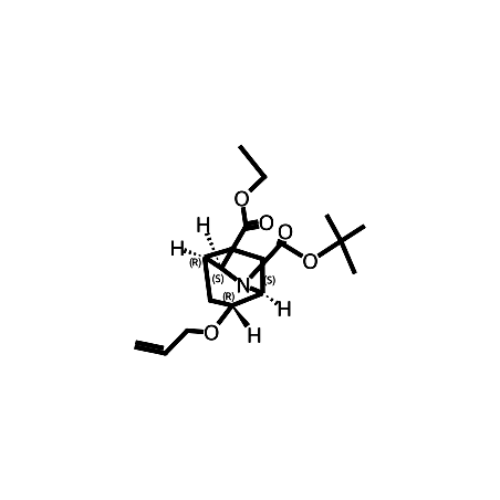 C=CCO[C@@H]1C[C@H]2CC[C@@H]1N(C(=O)OC(C)(C)C)[C@@H]2C(=O)OCC